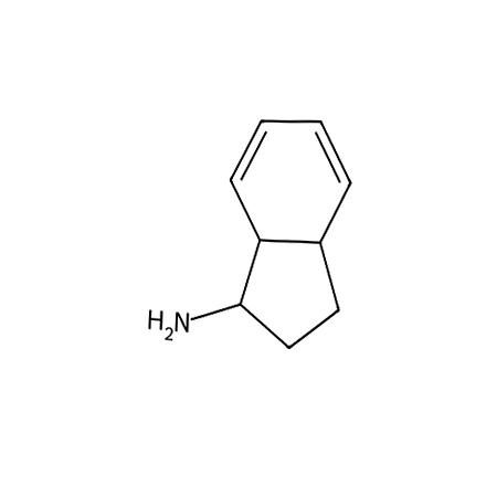 NC1CCC2C=CC=CC12